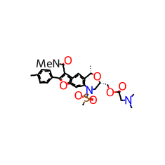 CNC(=O)c1c(-c2ccc(C)cc2)oc2cc3c(cc12)[C@H](C)O[C@H](COC(=O)CN(C)C)CN3S(C)(=O)=O